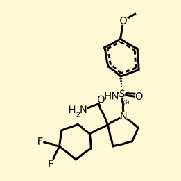 COc1ccc([S@](=N)(=O)N2CCCC2(C(N)=O)C2CCC(F)(F)CC2)cc1